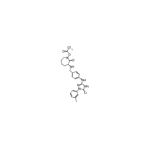 Cc1cccc(-n2nc(Nc3ccc(CNC4CCCCN(OC(=O)C(F)(F)F)C4=O)cc3)[nH]c2=O)c1